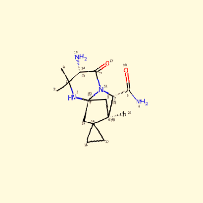 CC1(C)N[C@@]23C[C@@H]([C@@H](C(N)=O)N2C(=O)[C@H]1N)C1(CC1)C3